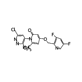 Cc1nnc(Cl)cc1-n1c(C)cc(OCc2ncc(F)cc2F)cc1=O